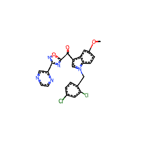 COc1ccc2c(c1)c(C(=O)c1nc(-c3cnccn3)no1)cn2Cc1ccc(Cl)cc1Cl